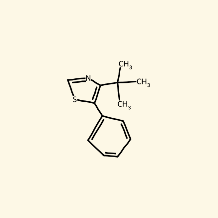 CC(C)(C)c1ncsc1-c1ccccc1